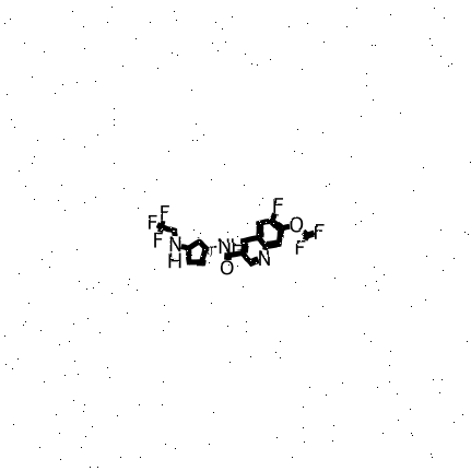 O=C(N[C@@H]1CCC(NCC(F)(F)F)C1)c1cnc2cc(OC(F)F)c(F)cc2c1